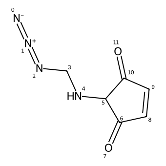 [N-]=[N+]=NCNC1C(=O)C=CC1=O